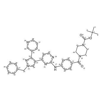 CC(C)(C)OC(=O)N1CCN(C(=O)c2ccc(Nc3nccc(-c4cn(Cc5ccccc5)nc4-c4cccnc4)n3)cc2)CC1